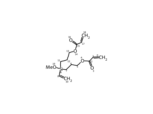 C=CC(=O)OCCC[Si](C=C)(CCCOC(=O)C=C)OC